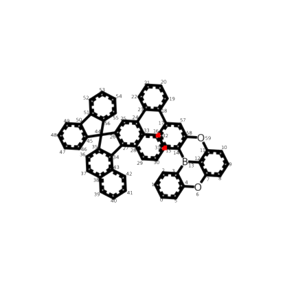 c1ccc2c(c1)Oc1cccc3c1B2c1ccc(-c2ccccc2-c2cc4c(c5ccccc25)-c2c(ccc5ccccc25)C42c4ccccc4-c4ccccc42)cc1O3